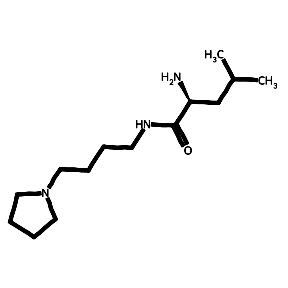 CC(C)C[C@H](N)C(=O)NCCCCN1CCCC1